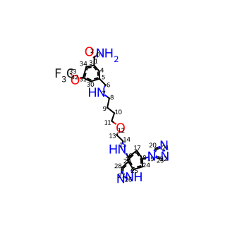 NC(=O)c1cc(CNCCCCOCCNc2cc(-n3cnnc3)cc3[nH]ncc23)cc(OC(F)(F)F)c1